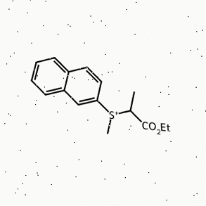 CCOC(=O)C(C)[S+](C)c1ccc2ccccc2c1